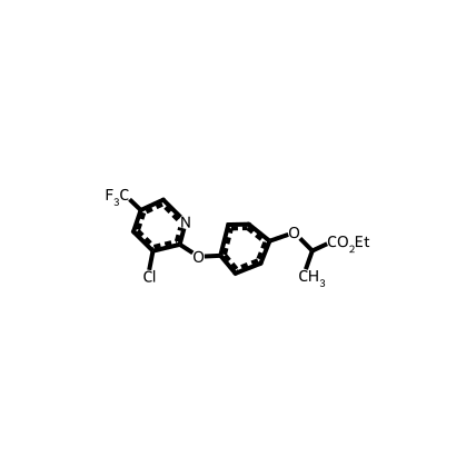 CCOC(=O)C(C)Oc1ccc(Oc2ncc(C(F)(F)F)cc2Cl)cc1